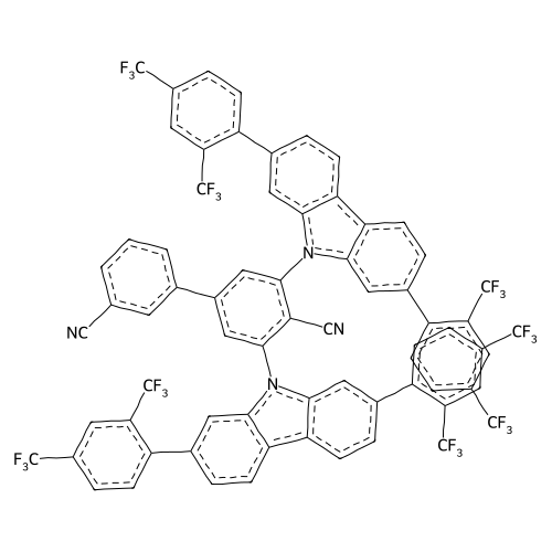 N#Cc1cccc(-c2cc(-n3c4cc(-c5ccc(C(F)(F)F)cc5C(F)(F)F)ccc4c4ccc(-c5ccc(C(F)(F)F)cc5C(F)(F)F)cc43)c(C#N)c(-n3c4cc(-c5ccc(C(F)(F)F)cc5C(F)(F)F)ccc4c4ccc(-c5ccc(C(F)(F)F)cc5C(F)(F)F)cc43)c2)c1